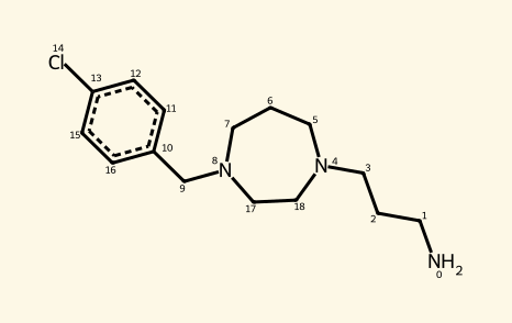 NCCCN1CCCN(Cc2ccc(Cl)cc2)CC1